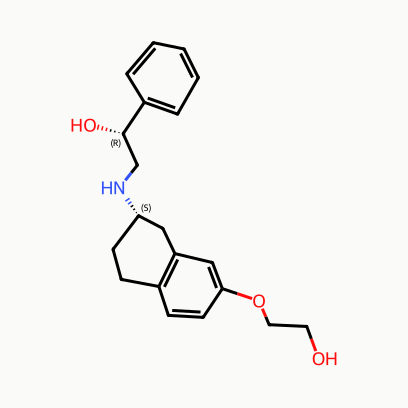 OCCOc1ccc2c(c1)C[C@@H](NC[C@H](O)c1ccccc1)CC2